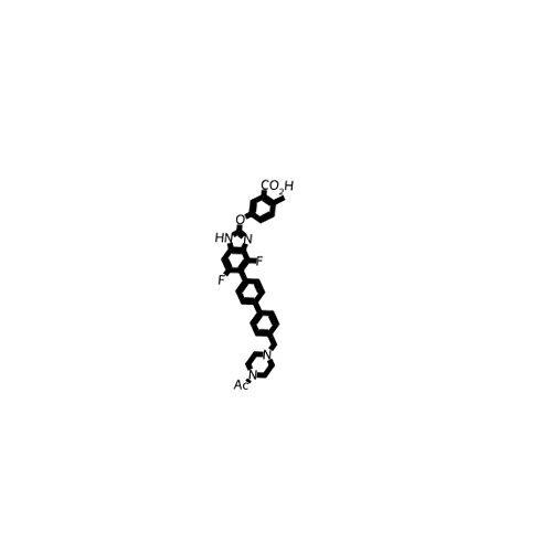 CC(=O)N1CCN(Cc2ccc(-c3ccc(-c4c(F)cc5[nH]c(Oc6ccc(C)c(C(=O)O)c6)nc5c4F)cc3)cc2)CC1